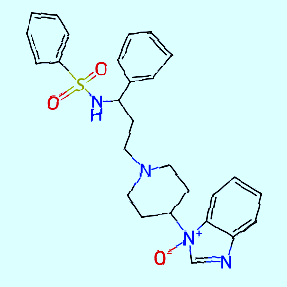 O=S(=O)(NC(CCN1CCC([N+]2([O-])C=Nc3ccccc32)CC1)c1ccccc1)c1ccccc1